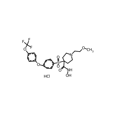 COCCN1CCC(C(=O)NO)(S(=O)(=O)c2ccc(Oc3ccc(OC(F)(F)F)cc3)cc2)CC1.Cl